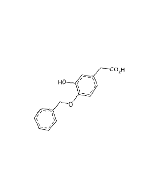 O=C(O)Cc1ccc(OCc2ccccc2)c(O)c1